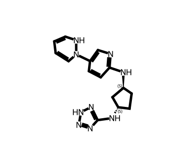 C1=CNN(c2ccc(N[C@H]3CC[C@H](Nc4nn[nH]n4)C3)nc2)C=C1